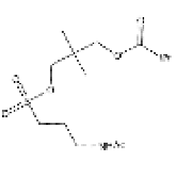 CC(=O)NCCCS(=O)(=O)OCC(C)(C)COC(=O)C(C)C